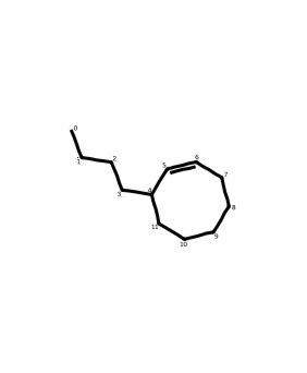 C[CH]CCC1C=CCCCCC1